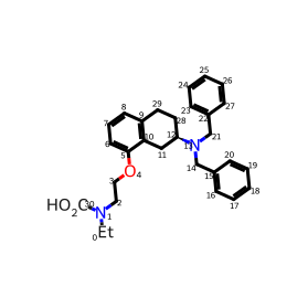 CCN(CCOc1cccc2c1C[C@H](N(Cc1ccccc1)Cc1ccccc1)CC2)C(=O)O